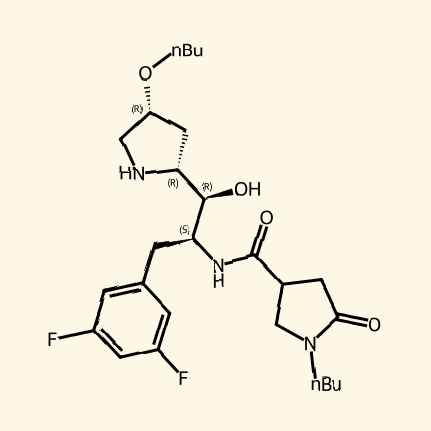 CCCCO[C@H]1CN[C@@H]([C@@H](O)[C@H](Cc2cc(F)cc(F)c2)NC(=O)C2CC(=O)N(CCCC)C2)C1